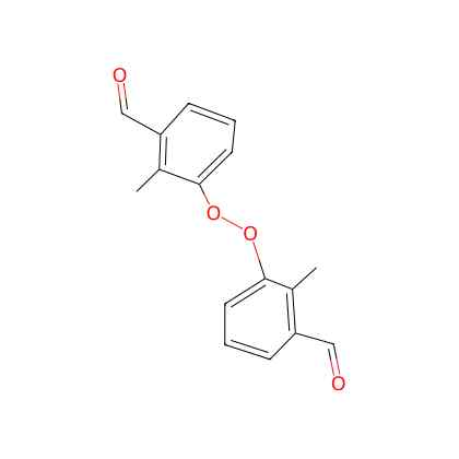 Cc1c(C=O)cccc1OOc1cccc(C=O)c1C